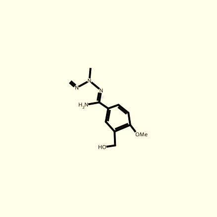 C=NN(C)/N=C(\N)c1ccc(OC)c(CO)c1